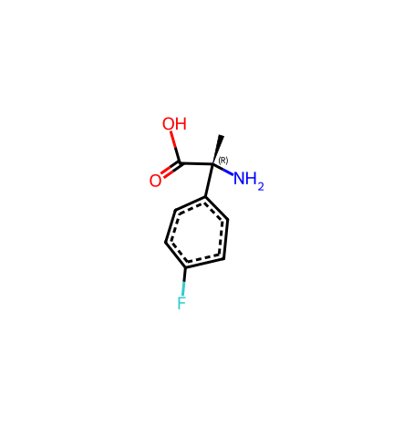 C[C@](N)(C(=O)O)c1ccc(F)cc1